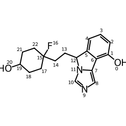 Oc1cccc2c1-c1cncn1C2CCC1(F)CCC(O)CC1